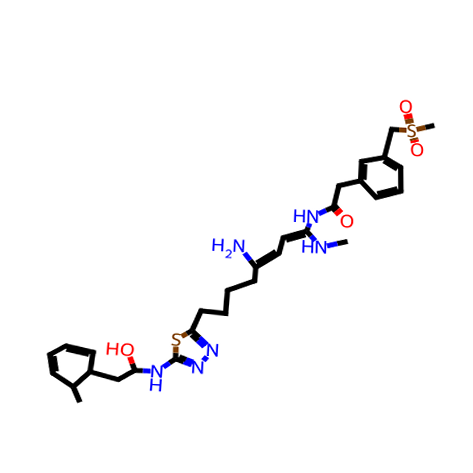 CN/C(=C\C=C(/N)CCCCc1nnc(NC(O)CC2C=CC=CC2C)s1)NC(=O)Cc1cccc(CS(C)(=O)=O)c1